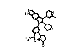 Cc1cc(-c2c(C3CCOCC3)n(-c3ccc(C(N)=O)c(C4CCC(=O)N4)c3)c3cc4[nH]ncc4cc23)ccn1